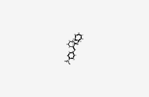 CN(C)c1ccc(C=C2CCC[n+]3c2sc2ccccc23)cc1